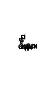 O=C(CCc1ccc(Cl)s1)N1CCN(Cc2cc3cnccc3[nH]2)C(=O)C1